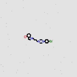 O=C1CCCc2c1ccn2CCCCN1CCN(c2ccc(Br)cc2)CC1